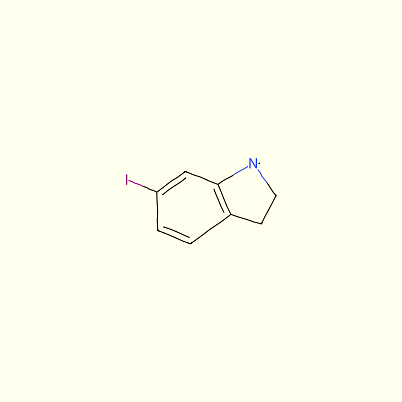 Ic1ccc2c(c1)[N]CC2